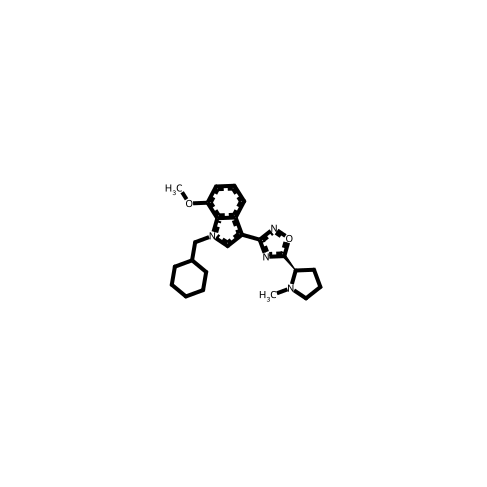 COc1cccc2c(-c3noc([C@H]4CCCN4C)n3)cn(CC3CCCCC3)c12